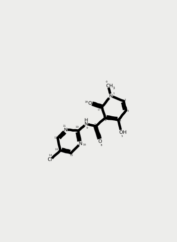 Cn1ccc(O)c(C(=O)Nc2ncc(Cl)cn2)c1=O